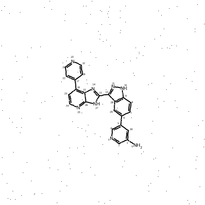 Nc1cncc(-c2ccc3[nH]nc(-c4nc5c(-c6ccncc6)ccnc5[nH]4)c3c2)c1